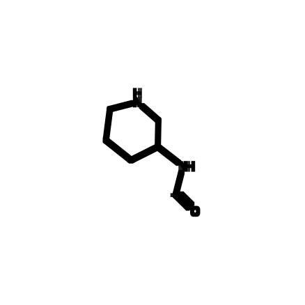 O=[C]NC1CCCNC1